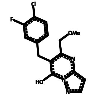 COCc1nc2ccnn2c(O)c1Cc1ccc(Cl)c(F)c1